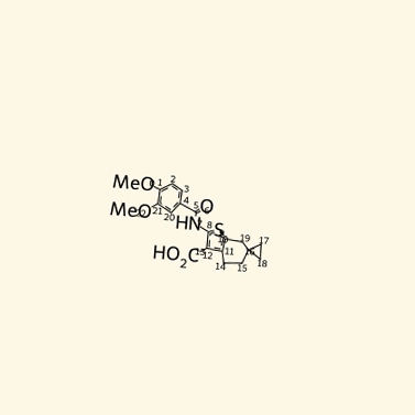 COc1ccc(C(=O)Nc2sc3c(c2C(=O)O)CCC2(CC2)C3)cc1OC